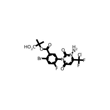 CC(C)(OC(=O)c1cc(-n2c(=O)cc(C(F)(F)Cl)n(N)c2=O)c(F)cc1Br)C(=O)O